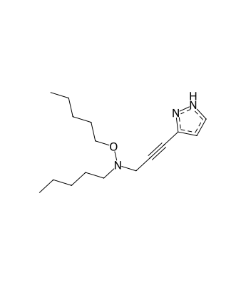 CCCCCON(CC#Cc1cc[nH]n1)CCCCC